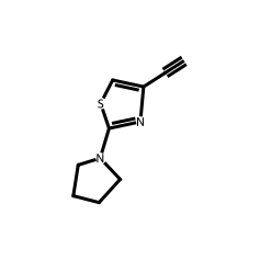 C#Cc1csc(N2CCCC2)n1